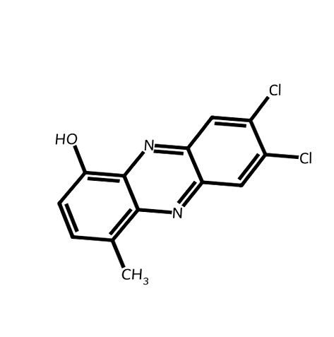 Cc1ccc(O)c2nc3cc(Cl)c(Cl)cc3nc12